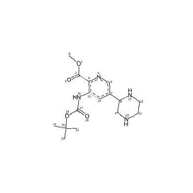 COC(=O)c1ncc(C2CNCCN2)cc1NC(=O)OC(C)(C)C